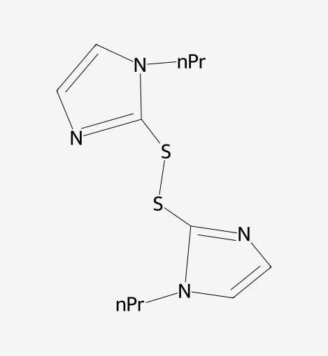 CCCn1ccnc1SSc1nccn1CCC